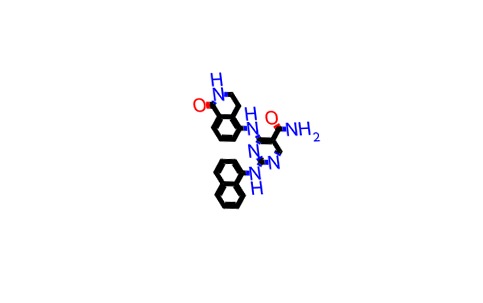 NC(=O)c1cnc(Nc2cccc3ccccc23)nc1Nc1cccc2c1CCNC2=O